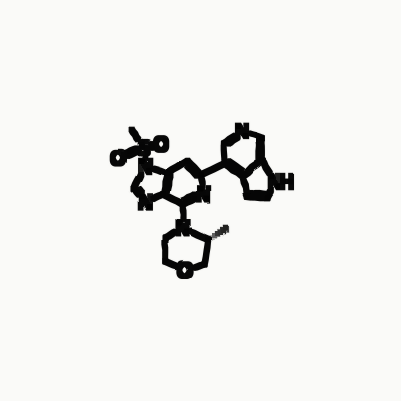 C[C@@H]1COCCN1c1nc(-c2cncc3[nH]ccc23)cc2c1ncn2S(C)(=O)=O